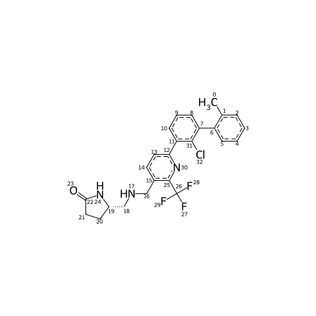 Cc1ccccc1-c1cccc(-c2ccc(CNC[C@@H]3CCC(=O)N3)c(C(F)(F)F)n2)c1Cl